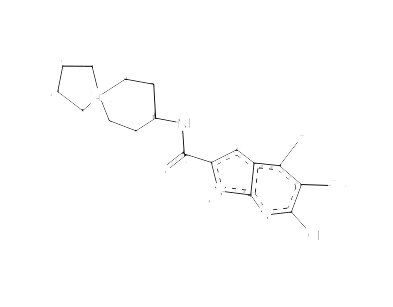 Cc1nc2[nH]c(C(=O)NC3CC[Si]4(CCCC4)CC3)cc2c(F)c1F